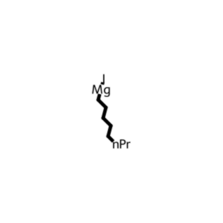 CCCCCCC[CH2][Mg][I]